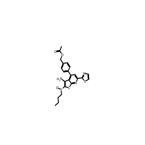 CCCC[S+]([O-])c1sc2nc(-c3nccs3)cc(-c3ccc(COC(C)=O)cc3)c2c1N